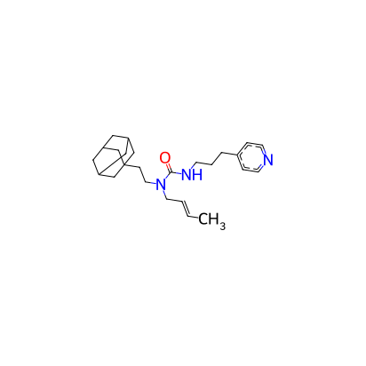 CC=CCN(CCC12CC3CC(CC(C3)C1)C2)C(=O)NCCCc1ccncc1